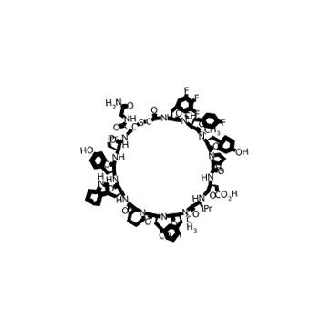 CC(C)C[C@@H]1NC(=O)[C@H](Cc2ccc(O)cc2)NC(=O)[C@H](Cc2c[nH]c3ccccc23)NC(=O)[C@H]2CCCCN2C(=O)[C@H](CCC(=O)O)NC(=O)[C@H](Cc2ccccc2)N(C)C(=O)[C@H](C(C)C)NC(=O)[C@H](CC(=O)O)NC(=O)[C@H]2CCCN2C(=O)[C@H](Cc2ccc(O)cc2)N(C)C(=O)[C@H](Cc2ccc(F)cc2)N(C)C(=O)[C@H](Cc2cc(F)c(F)c(F)c2)NC(=O)CSC[C@@H](C(=O)NCC(N)=O)NC1=O